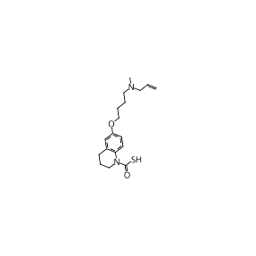 C=CCN(C)CCCCOc1ccc2c(c1)CCCN2C(=O)S